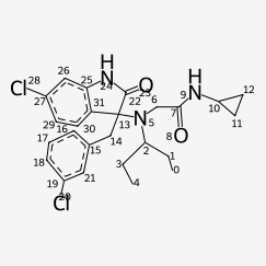 CCC(CC)N(CC(=O)NC1CC1)C1(Cc2cccc(Cl)c2)C(=O)Nc2cc(Cl)ccc21